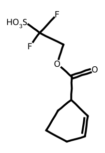 O=C(OCC(F)(F)S(=O)(=O)O)C1C=CCCC1